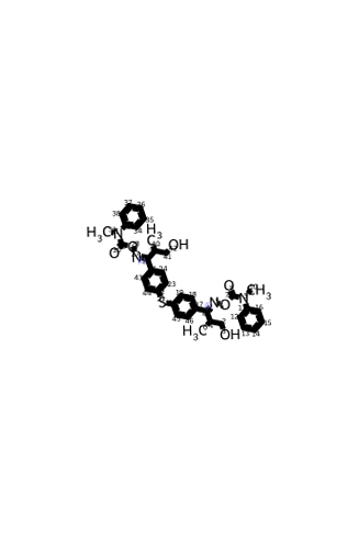 CC(CO)/C(=N\OC(=O)N(C)c1ccccc1)c1ccc(Sc2ccc(/C(=N/OC(=O)N(C)c3ccccc3)C(C)CO)cc2)cc1